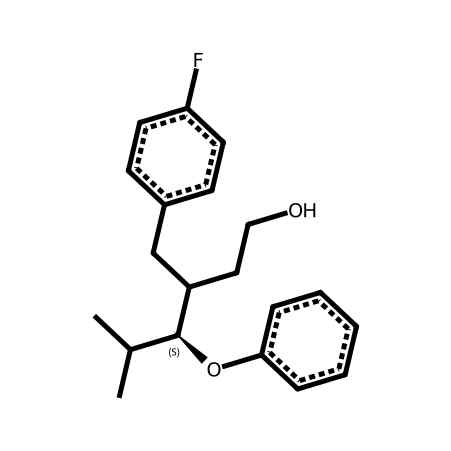 CC(C)[C@H](Oc1ccccc1)C(CCO)Cc1ccc(F)cc1